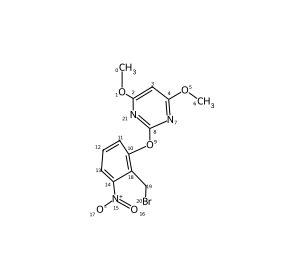 COc1cc(OC)nc(Oc2cccc([N+](=O)[O-])c2CBr)n1